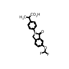 CC(C(=O)O)c1ccc(N2Cc3ccc(OC(F)F)cc3C2=O)cc1